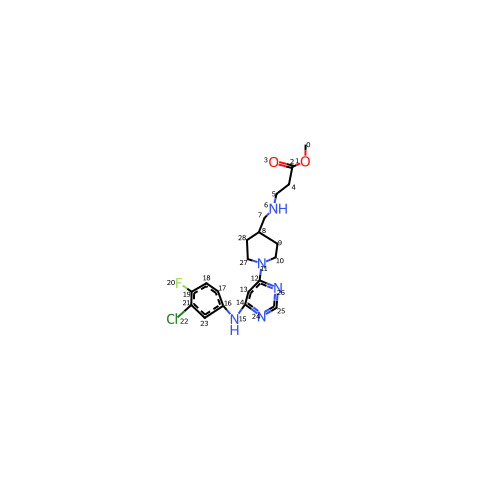 COC(=O)CCNCC1CCN(c2cc(Nc3ccc(F)c(Cl)c3)ncn2)CC1